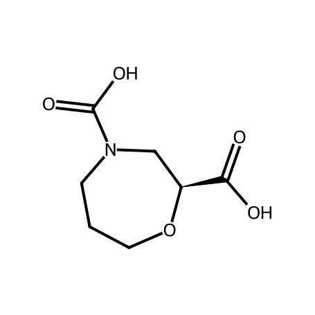 O=C(O)[C@@H]1CN(C(=O)O)CCCO1